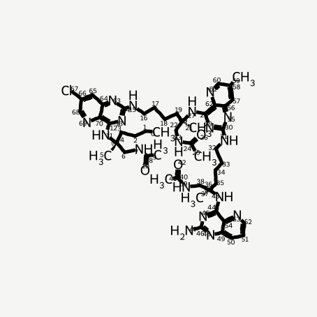 CCCC[C@](C)(CNC(C)=O)Nc1nc(NCCCC[C@](C)(CNC(C)=O)Nc2nc(NCCCC[C@](C)(CNC(C)=O)Nc3nc(N)nc4cccnc34)nc3cc(C)cnc23)nc2cc(Cl)cnc12